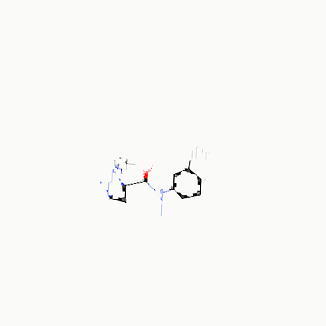 CC(C)c1cccc(NC(=O)c2ccnn2C)c1